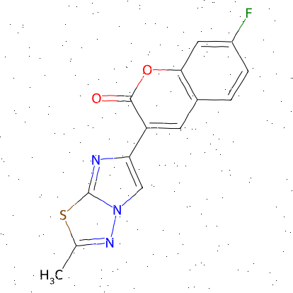 Cc1nn2cc(-c3cc4ccc(F)cc4oc3=O)nc2s1